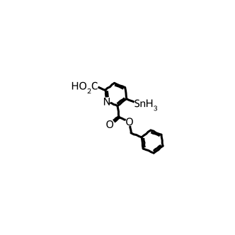 O=C(O)c1cc[c]([SnH3])c(C(=O)OCc2ccccc2)n1